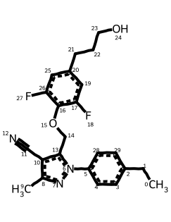 CCc1ccc(-n2nc(C)c(C#N)c2COc2c(F)cc(CCCO)cc2F)cc1